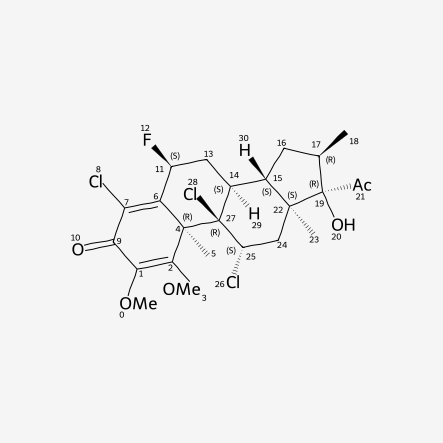 COC1=C(OC)[C@@]2(C)C(=C(Cl)C1=O)[C@@H](F)C[C@H]1[C@@H]3C[C@@H](C)[C@](O)(C(C)=O)[C@@]3(C)C[C@H](Cl)[C@@]12Cl